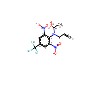 C=CCN(c1c([N+](=O)[O-])cc(C(F)(F)F)cc1[N+](=O)[O-])C(C)O